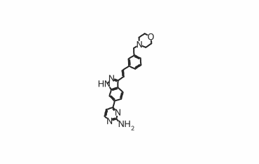 Nc1nccc(-c2ccc3c(/C=C/c4cccc(CN5CCOCC5)c4)n[nH]c3c2)n1